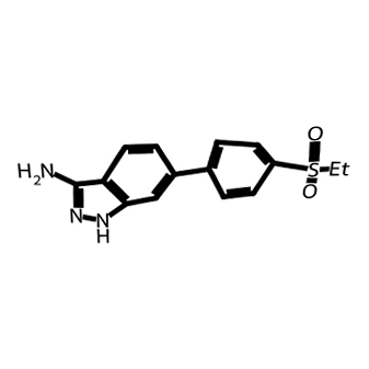 CCS(=O)(=O)c1ccc(-c2ccc3c(N)n[nH]c3c2)cc1